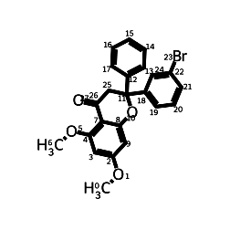 COc1cc(OC)c2c(c1)OC(c1ccccc1)(c1cccc(Br)c1)CC2=O